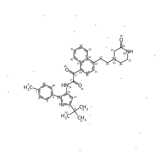 Cc1ccc(-n2nc(C(C)(C)C)cc2NC(=O)C(=O)c2ccc(CCN3CCNC(=O)C3)c3ccccc23)cc1